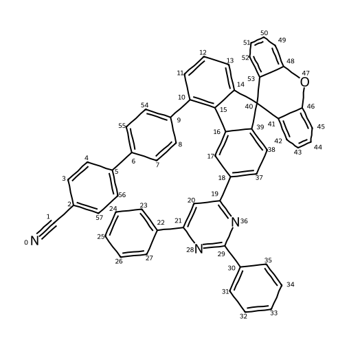 N#Cc1ccc(-c2ccc(-c3cccc4c3-c3cc(-c5cc(-c6ccccc6)nc(-c6ccccc6)n5)ccc3C43c4ccccc4Oc4ccccc43)cc2)cc1